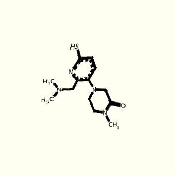 CN(C)Cc1nc(S)ccc1N1CCN(C)C(=O)C1